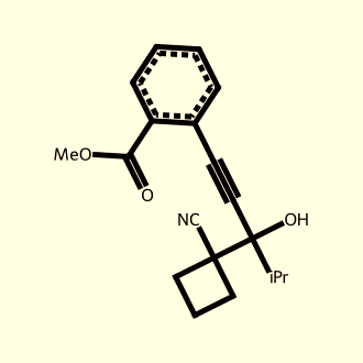 COC(=O)c1ccccc1C#CC(O)(C(C)C)C1(C#N)CCC1